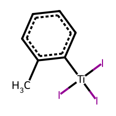 Cc1cccc[c]1[Ti]([I])([I])[I]